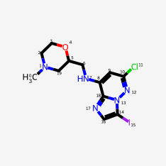 CN1CCOC(CNc2cc(Cl)nn3c(I)cnc23)C1